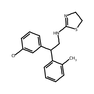 Cc1ccccc1C(CNC1=NCCS1)c1cccc(Cl)c1